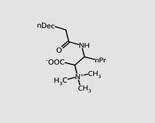 CCCCCCCCCCCC(=O)NC(CCC)C(C(=O)[O-])[N+](C)(C)C